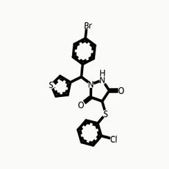 O=C1NN(C(c2ccc(Br)cc2)c2ccsc2)C(=O)C1Sc1ccccc1Cl